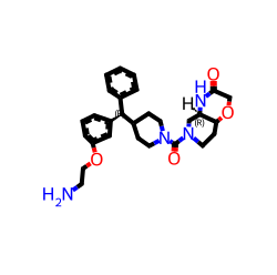 NCCOc1cccc([C@@H](c2ccccc2)C2CCN(C(=O)N3CCC4OCC(=O)N[C@@H]4C3)CC2)c1